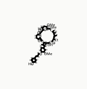 CCC1/C=C(\C)C(F)C(C)CC(OC)C2OC(O)(C(=O)C(=O)N3CCCCC3C(=O)OC(C(C)=CC3CCC(OCC=Cc4ccc(O)cc4)C(OC)C3)C(C)C(O)CC1=O)C(C)CC2OC